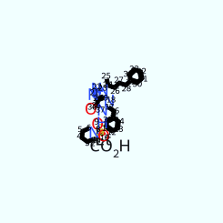 CCC1(C(=O)O)CCCCN1S(=O)(=O)c1cccc(Cc2nc3c(nnn3C(C)CCCc3ccccc3)c(=O)[nH]2)c1